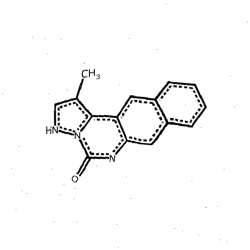 Cc1c[nH]n2c(=O)nc3cc4ccccc4cc3c12